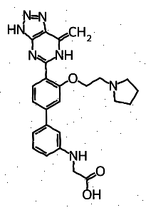 C=C1NC(c2ccc(-c3cccc(NCC(=O)O)c3)cc2OCCN2CCCC2)=Nc2[nH]nnc21